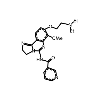 CCN(CC)CCOc1ccc2c(c1OC)N=C(NC(=O)c1cccnc1)N1CCN=C21